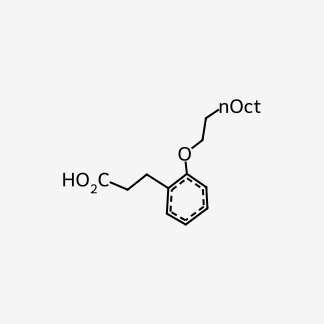 CCCCCCCCCCOc1ccccc1CCC(=O)O